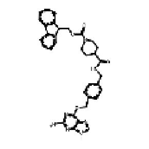 Nc1nc(OCc2ccc(CNC(=O)C3CCN(C(=O)OCC4c5ccccc5-c5ccccc54)CC3)cc2)c2nc[nH]c2n1